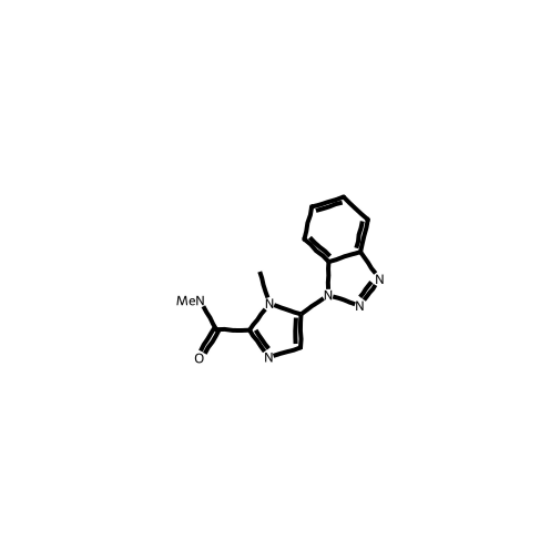 CNC(=O)c1ncc(-n2nnc3ccccc32)n1C